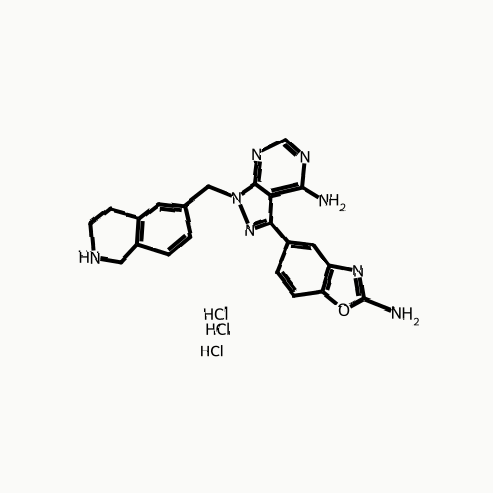 Cl.Cl.Cl.Nc1nc2cc(-c3nn(Cc4ccc5c(c4)CCNC5)c4ncnc(N)c34)ccc2o1